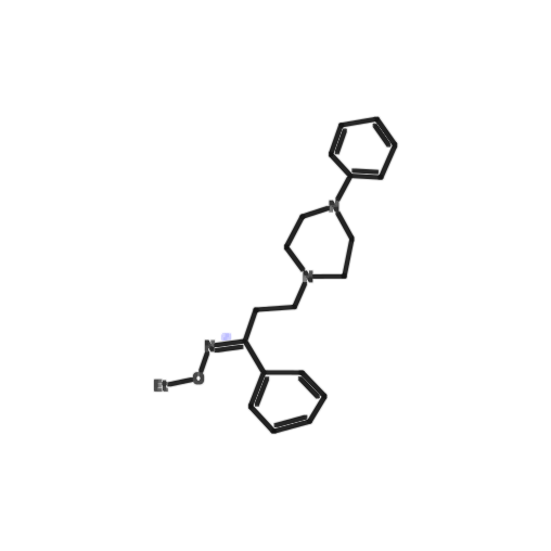 CCO/N=C(/CCN1CCN(c2ccccc2)CC1)c1ccccc1